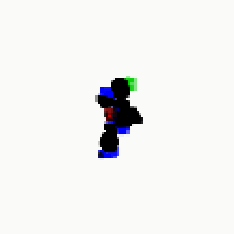 CNc1ccc(-c2cnc(C(CC3CC3)c3ccc(-c4cc(Cl)ccc4-n4cccn4)c[n+]3OC)[nH]2)cc1